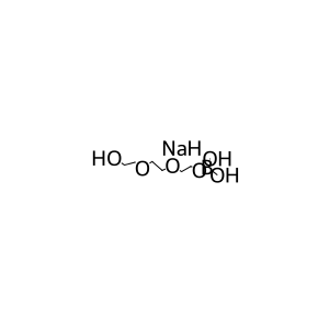 OCCOCCOCCOB(O)O.[NaH]